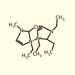 CCC1N(CC)C=C[N+]1(CC)[N+]1(CC)C=CN(C)C1C